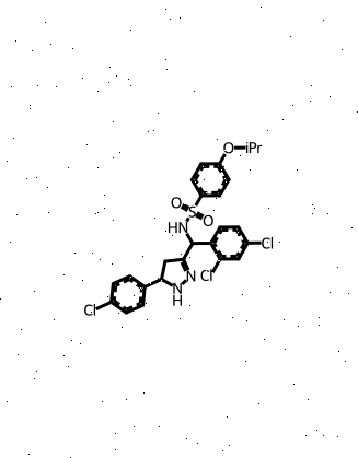 CC(C)Oc1ccc(S(=O)(=O)NC(C2=NNC(c3ccc(Cl)cc3)C2)c2ccc(Cl)cc2Cl)cc1